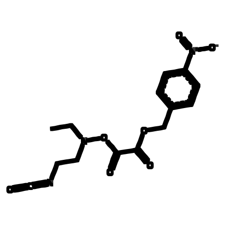 CCN(CCN=C=O)OC(=O)C(=O)OCc1ccc([N+](=O)[O-])cc1